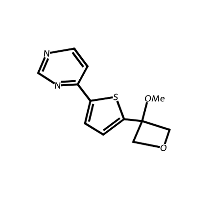 COC1(c2ccc(-c3ccncn3)s2)COC1